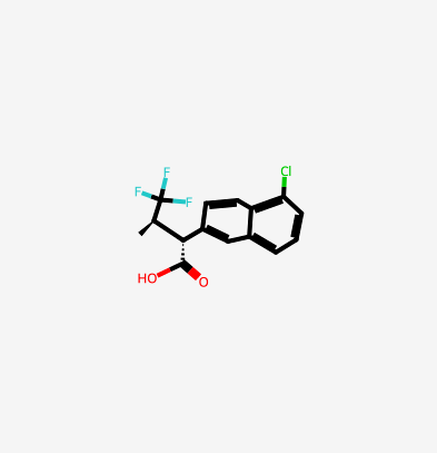 C[C@H]([C@@H](C(=O)O)c1ccc2c(Cl)cccc2c1)C(F)(F)F